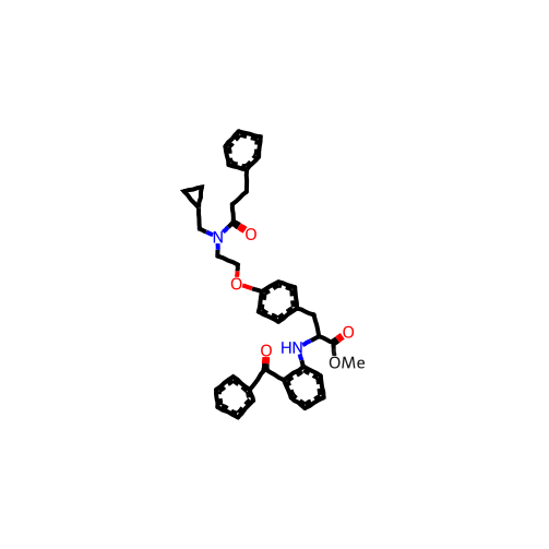 COC(=O)C(Cc1ccc(OCCN(CC2CC2)C(=O)CCc2ccccc2)cc1)Nc1ccccc1C(=O)c1ccccc1